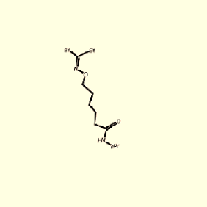 CCCNC(=O)CCCCCON=C(CC)CC